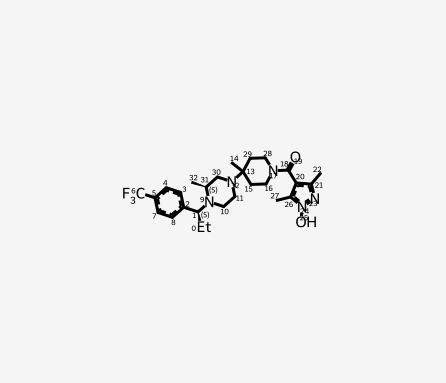 CC[C@@H](c1ccc(C(F)(F)F)cc1)N1CCN(C2(C)CCN(C(=O)c3c(C)nn(O)c3C)CC2)C[C@@H]1C